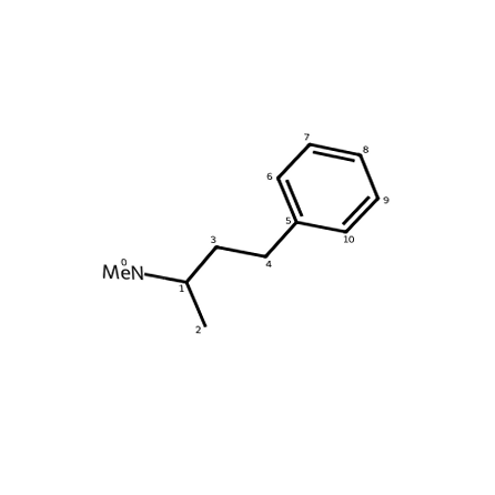 CNC(C)CCc1ccccc1